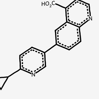 O=C(O)c1ccnc2ccc(-c3ccc(C4CC4)nc3)cc12